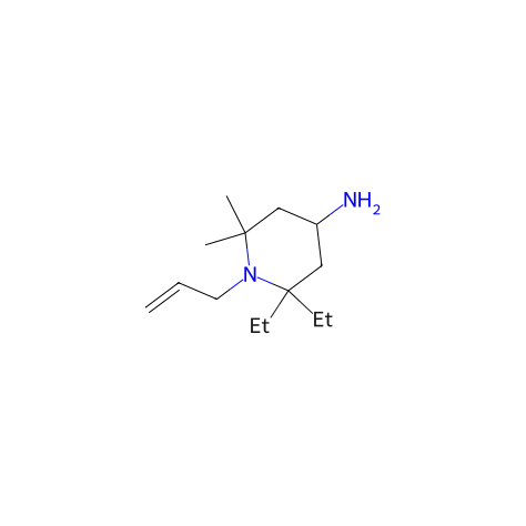 C=CCN1C(C)(C)CC(N)CC1(CC)CC